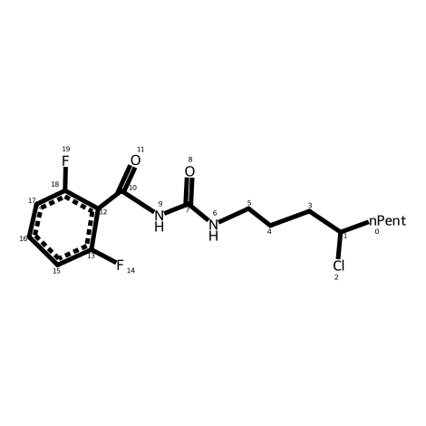 CCCCCC(Cl)CCCNC(=O)NC(=O)c1c(F)cccc1F